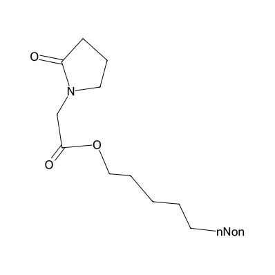 CCCCCCCCCCCCCCOC(=O)CN1CCCC1=O